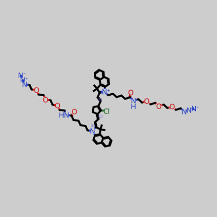 CC1(C)C(/C=C/C2=C(Cl)C(=C/C=C3/N(CCCCCC(=O)NCCOCCOCCOCCN=[N+]=[N-])c4ccc5ccccc5c4C3(C)C)/CC2)=[N+](CCCCCC(=O)NCCOCCOCCOCCN=[N+]=[N-])c2ccc3ccccc3c21